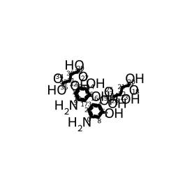 Nc1ccc(O)c(O)c1.Nc1ccc(O)c(O)c1.O=C(O)CC(O)C(=O)O.O=C(O)CC(O)C(=O)O